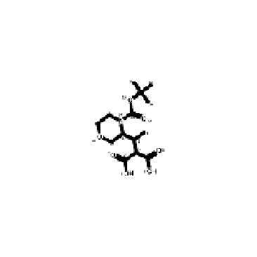 CC(C(C(=O)O)C(=O)O)C1COCCN1C(=O)OC(C)(C)C